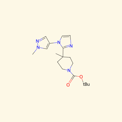 Cn1cc(-n2ccnc2C2(C)CCN(C(=O)OC(C)(C)C)CC2)cn1